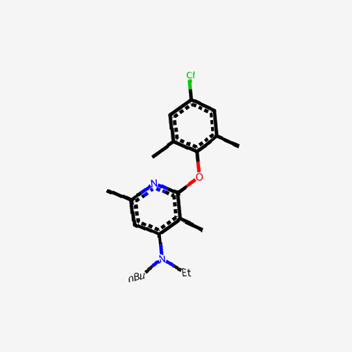 CCCCN(CC)c1cc(C)nc(Oc2c(C)cc(Cl)cc2C)c1C